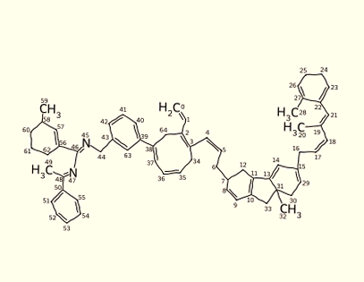 C=C/C1=C(\C=C/CC2C=CC3=C(C2)C2=CC(C/C=C\C(C)=C\C4=CCCC=C4C)=CCC2(C)C3)C/C=C\C=C(\c2cccc(C/N=C(\N=C(/C)c3ccccc3)C3=CC(C)CCC3)c2)C1